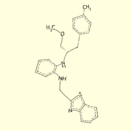 COC[C@H](Cc1ccc(C)cc1)Nc1ccccc1NCc1nc2ccccc2s1